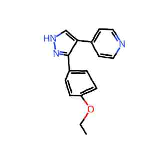 CCOc1ccc(-c2n[nH]cc2-c2ccncc2)cc1